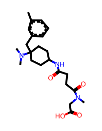 Cc1cccc(CC2(N(C)C)CCC(NC(=O)CCC(=O)N(C)CC(=O)O)CC2)c1